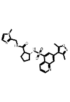 Cc1noc(C)c1-c1cc(S(=O)(=O)N[C@@H]2CCCC2C(=O)NCc2nccn2C)c2cccnc2c1